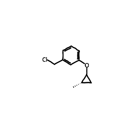 C[C@H]1CC1Oc1cccc(CCl)c1